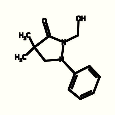 CC1(C)CN(c2ccccc2)N(CO)C1=O